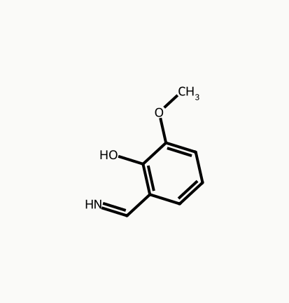 COc1cccc(C=N)c1O